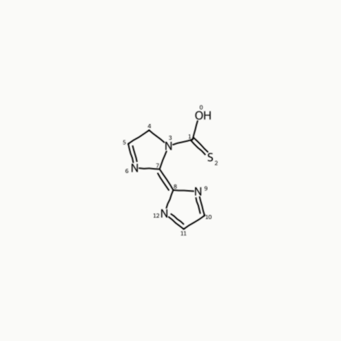 OC(=S)N1CC=NC1=C1N=CC=N1